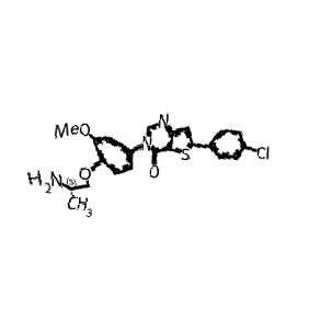 COc1cc(-n2cnc3cc(-c4ccc(Cl)cc4)sc3c2=O)ccc1OC[C@H](C)N